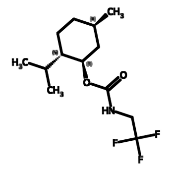 CC(C)[C@@H]1CC[C@@H](C)C[C@H]1OC(=O)NCC(F)(F)F